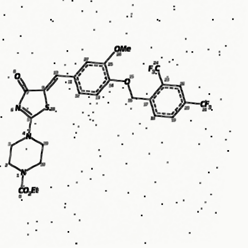 CCOC(=O)N1CCN(C2=NC(=O)/C(=C/c3ccc(OCc4ccc(C(F)(F)F)cc4C(F)(F)F)c(OC)c3)S2)CC1